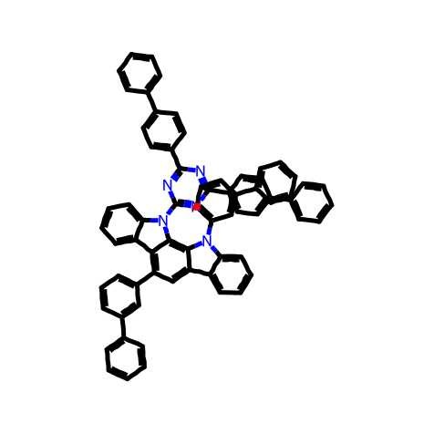 c1ccc(-c2ccc(-c3nc(-c4ccc(-c5ccccc5)cc4)nc(-n4c5ccccc5c5c(-c6cccc(-c7ccccc7)c6)cc6c7ccccc7n(-c7cccc(-c8ccccc8)c7)c6c54)n3)cc2)cc1